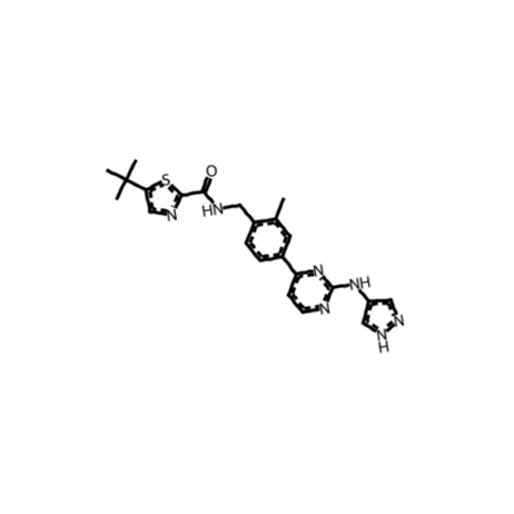 Cc1cc(-c2ccnc(Nc3cn[nH]c3)n2)ccc1CNC(=O)c1ncc(C(C)(C)C)s1